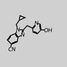 N#Cc1ccc2c(c1)nc(Cc1ccc(O)cn1)n2CC1CC1